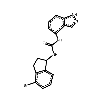 O=C(Nc1cccc2[nH]ncc12)NC1CCc2c(Br)cccc21